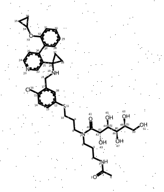 CC(=O)NCCCN(CCCSc1ccc(Cl)c(CNC2(c3cnccc3-c3ccccc3OC3CC3)CC2)c1)C(=O)[C@@H](O)[C@@H](O)[C@H](O)[C@@H](O)CO